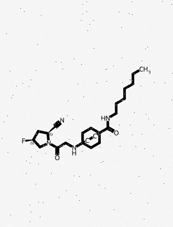 CCCCCCCNC(=O)C12CCC(NCC(=O)N3C[C@@H](F)C[C@H]3C#N)(CC1)CC2